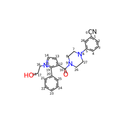 N#Cc1cccc(N2CCN(C(=O)c3ccn(CCO)c3-c3ccccc3)CC2)c1